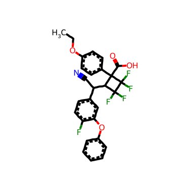 CCOc1ccc(C2(C(=O)O)C(C(C#N)c3ccc(F)c(Oc4ccccc4)c3)C(F)(F)C2(F)F)cc1